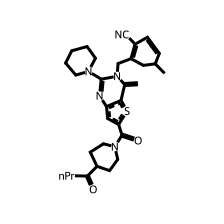 C=C1c2sc(C(=O)N3CCC(C(=O)CCC)CC3)cc2N=C(N2CCCCC2)N1CC1=C(C#N)C=CC(C)C1